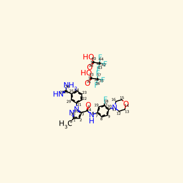 Cc1cc(C(=O)Nc2ccc(N3CCOCC3)c(F)c2)n(-c2cccc(C(=N)N)c2)n1.O=C(O)C(F)(F)F.O=C(O)C(F)(F)F